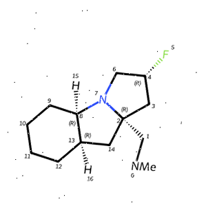 CNC[C@@]12C[C@@H](F)CN1[C@@H]1CCCC[C@@H]1C2